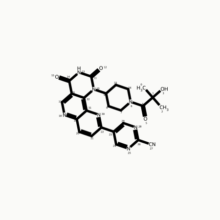 CC(C)(O)C(=O)N1CCC(n2c(=O)[nH]c(=O)c3cnc4ccc(-c5cnc(C#N)nc5)nc4c32)CC1